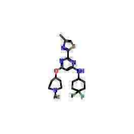 CC(=O)N1CCC(Oc2cc(NC3CCC(F)(F)CC3)nc(-c3nc(C)cs3)n2)CC1